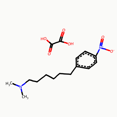 CN(C)CCCCCCc1ccc([N+](=O)[O-])cc1.O=C(O)C(=O)O